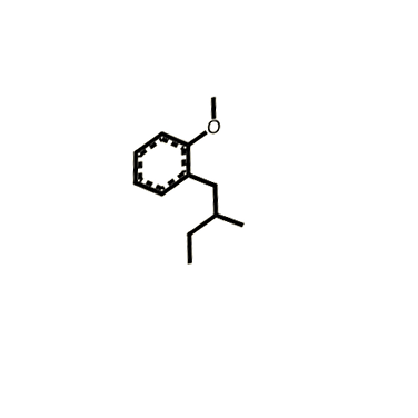 CCC(C)Cc1ccccc1OC